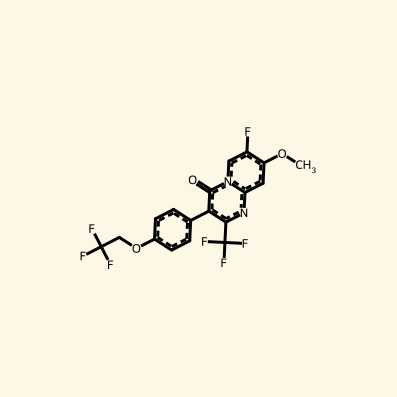 COc1cc2nc(C(F)(F)F)c(-c3ccc(OCC(F)(F)F)cc3)c(=O)n2cc1F